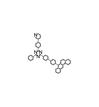 c1ccc(-c2nc(-c3ccc(-c4ccc(-c5c6ccccc6cc6c5ccc5ccccc56)cc4)cc3)nc(-c3ccc(-c4cccnc4)cc3)n2)cc1